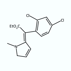 CCOC(=O)C(=C1C=CCN1C)c1ccc(Cl)cc1Cl